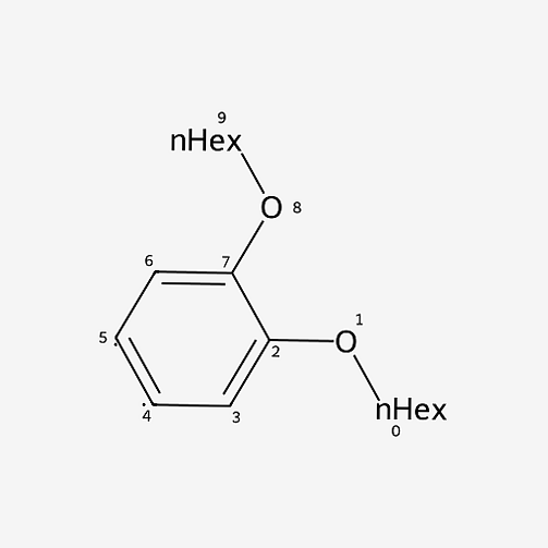 CCCCCCOc1c[c][c]cc1OCCCCCC